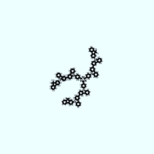 CC1(C)c2ccccc2-c2ccc(-n3c4ccccc4c4cc(-c5ccc6c(c5)c5ccccc5n6-c5ccc(-c6nc(-c7ccc(-n8c9ccccc9c9cc(-c%10ccc%11c(c%10)c%10ccccc%10n%11-c%10ccc%11c(c%10)C(C)(C)c%10ccccc%10-%11)ccc98)cc7)nc(-c7ccc(-n8c9ccccc9c9cc(-c%10ccc%11c(c%10)c%10ccccc%10n%11-c%10ccc%11c(c%10)C(C)(C)c%10ccccc%10-%11)ccc98)cc7)n6)cc5)ccc43)cc21